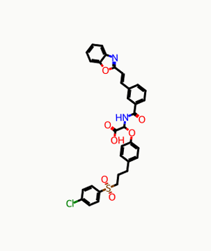 O=C(NC(Oc1ccc(CCCS(=O)(=O)c2ccc(Cl)cc2)cc1)C(=O)O)c1cccc(C=Cc2nc3ccccc3o2)c1